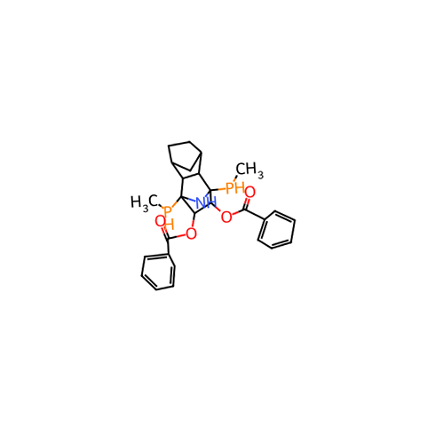 CPC12NC(PC)(C(OC(=O)c3ccccc3)C1OC(=O)c1ccccc1)C1C3CCC(C3)C12